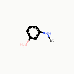 Bc1cccc(NCC)c1